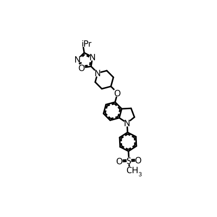 CC(C)c1noc(N2CCC(Oc3cccc4c3CCN4c3ccc(S(C)(=O)=O)cc3)CC2)n1